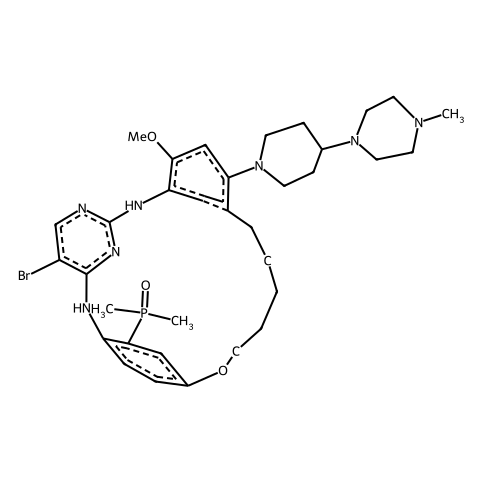 COc1cc(N2CCC(N3CCN(C)CC3)CC2)c2cc1Nc1ncc(Br)c(n1)Nc1ccc(cc1P(C)(C)=O)OCCCCC2